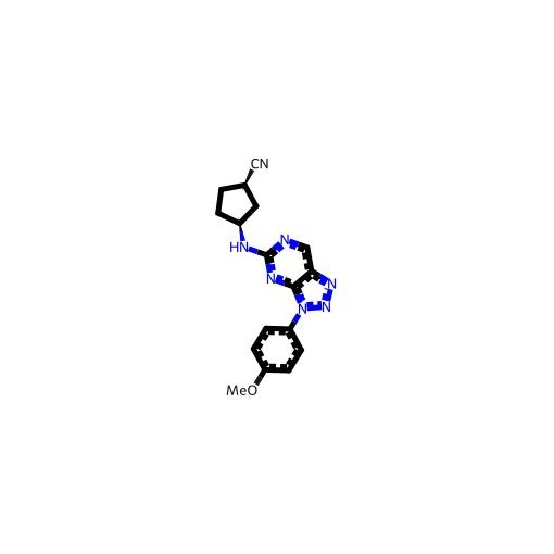 COc1ccc(-n2nnc3cnc(N[C@H]4CC[C@@H](C#N)C4)nc32)cc1